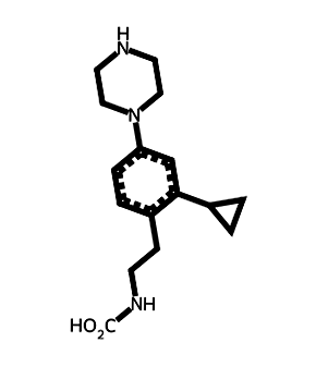 O=C(O)NCCc1ccc(N2CCNCC2)cc1C1CC1